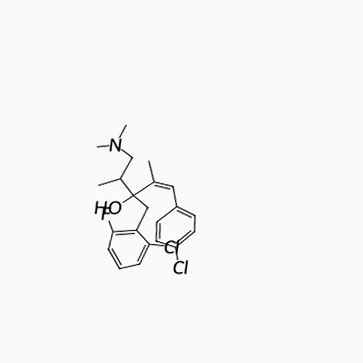 C/C(=C/c1ccc(Cl)cc1)C(O)(Cc1c(F)cccc1Cl)C(C)CN(C)C